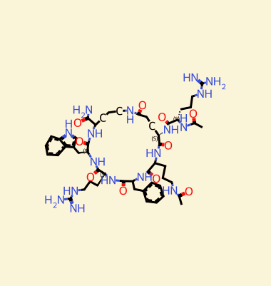 CC(=O)NCCCC1NC(=O)[C@@H](NC(=O)[C@H](CCCNC(=N)N)NC(C)=O)CCC(=O)NCCCC(C(N)=O)NC(=O)[C@H](Cc2c[nH]c3ccccc23)NC(=O)[C@H](CCCNC(=N)N)NC(=O)C(Cc2ccccc2)NC1=O